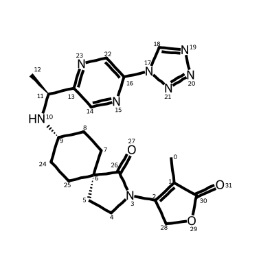 CC1=C(N2CC[C@]3(CC[C@@H](N[C@@H](C)c4cnc(-n5cnnn5)cn4)CC3)C2=O)COC1=O